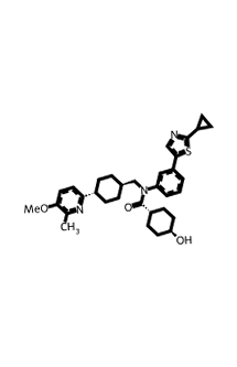 COc1ccc([C@H]2CC[C@H](CN(c3cccc(-c4cnc(C5CC5)s4)c3)C(=O)[C@H]3CC[C@H](O)CC3)CC2)nc1C